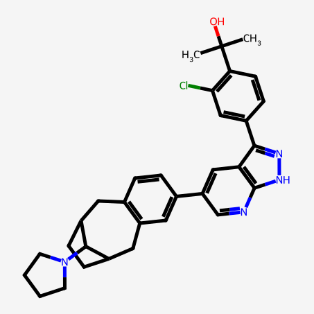 CC(C)(O)c1ccc(-c2n[nH]c3ncc(-c4ccc5c(c4)CC4CCC(C5)C4N4CCCC4)cc23)cc1Cl